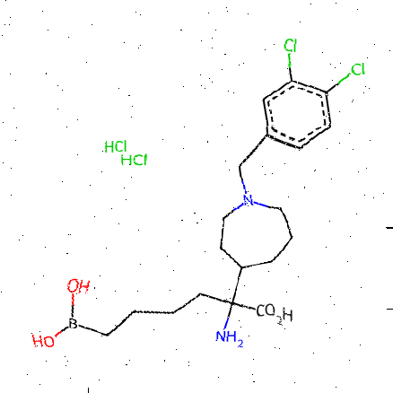 Cl.Cl.NC(CCCCB(O)O)(C(=O)O)C1CCCN(Cc2ccc(Cl)c(Cl)c2)CC1